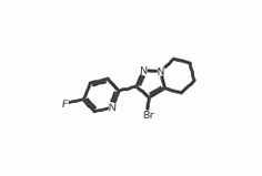 Fc1ccc(-c2nn3c(c2Br)CCCC3)nc1